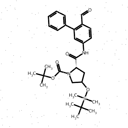 CC(C)(C)OC(=O)N1CC(O[Si](C)(C)C(C)(C)C)C[C@H]1C(=O)Nc1ccc([C]=O)c(-c2ccccc2)c1